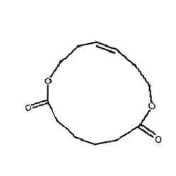 O=C1CCCCC(=O)OCCC=CCCO1